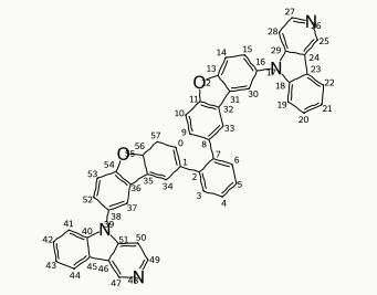 C1=C(c2ccccc2-c2ccc3oc4ccc(-n5c6ccccc6c6cnccc65)cc4c3c2)C=C2c3cc(-n4c5ccccc5c5cnccc54)ccc3OC2C1